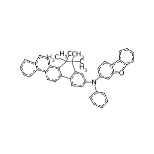 CC1(C)c2cc(N(c3ccccc3)c3ccc4c(c3)oc3ccccc34)ccc2-c2ccc3c(ccc4ccccc43)c2C1(C)C